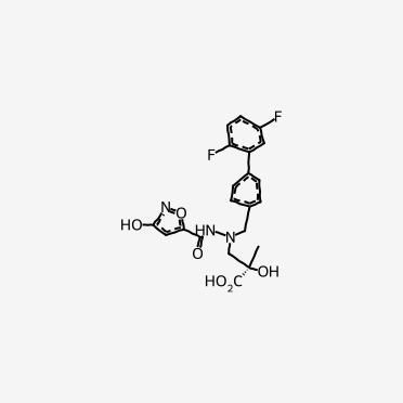 C[C@@](O)(CN(Cc1ccc(-c2cc(F)ccc2F)cc1)NC(=O)c1cc(O)no1)C(=O)O